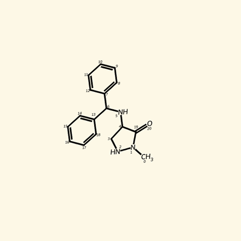 CN1NCC(NC(c2ccccc2)c2ccccc2)C1=O